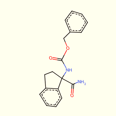 NC(=O)C1(NC(=O)OCc2ccccc2)CCc2ccccc21